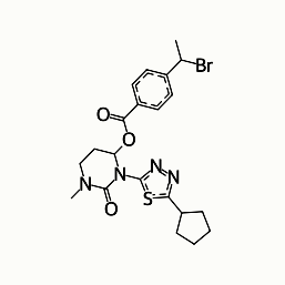 CC(Br)c1ccc(C(=O)OC2CCN(C)C(=O)N2c2nnc(C3CCCC3)s2)cc1